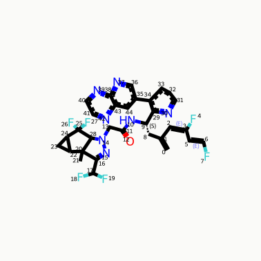 C=C(/C=C(F)\C=C\F)C[C@H](NC(=O)CN1N=C(C(F)F)C2(C)C3CC3C(F)(F)C12)c1ncccc1-c1cnc2nccnc2c1